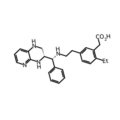 CCc1ccc(CCN[C@H](c2ccccc2)[C@H]2CNc3cccnc3N2)cc1CC(=O)O